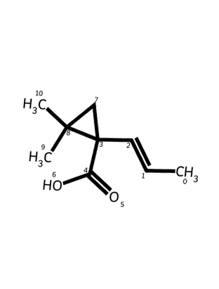 C/C=C/C1(C(=O)O)CC1(C)C